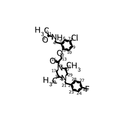 CC(=O)NCc1cc(Cl)ccc1OCC(=O)N1CC(C)N(Cc2ccc(F)cc2)CC1C